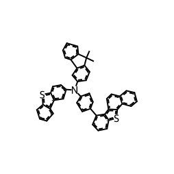 CC1(C)c2ccccc2-c2cc(N(c3ccc(-c4cccc5sc6c7ccccc7ccc6c45)cc3)c3ccc4sc5ccccc5c4c3)ccc21